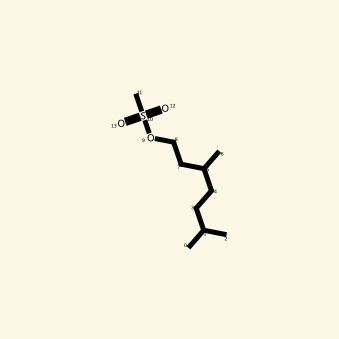 CC(C)CCC(C)CCOS(C)(=O)=O